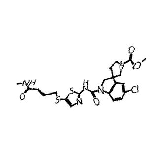 CNC(=O)CCCSc1cnc(NC(=O)N2CC3(CCN(C(=O)OC)C3)c3cc(Cl)ccc32)s1